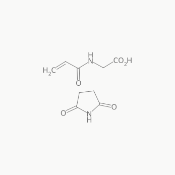 C=CC(=O)NCC(=O)O.O=C1CCC(=O)N1